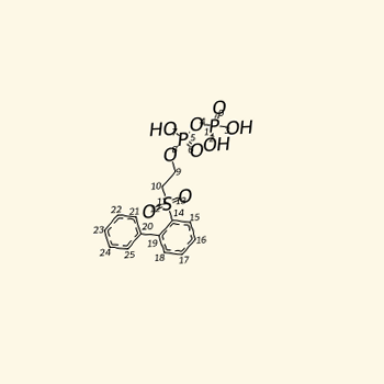 O=P(O)(O)OP(=O)(O)OCCS(=O)(=O)c1ccccc1-c1ccccc1